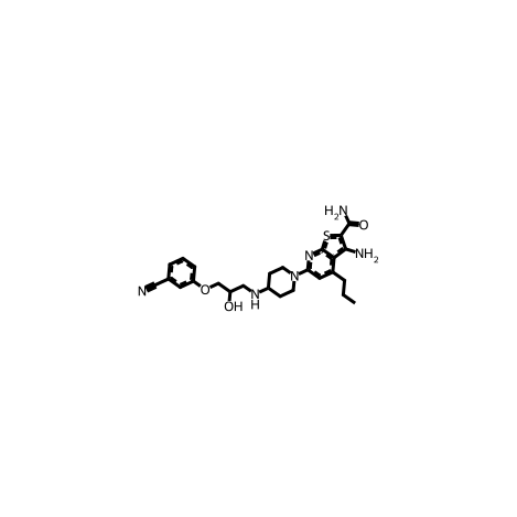 CCCc1cc(N2CCC(NCC(O)COc3cccc(C#N)c3)CC2)nc2sc(C(N)=O)c(N)c12